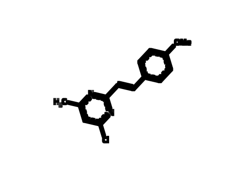 COc1ccc(C=Cc2nc(C)cc(Cl)n2)cc1